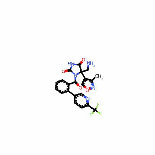 Cc1nocc1C1(CN)C(=O)NC(=O)N1C(=O)c1ccccc1-c1ccc(C(F)(F)F)nc1